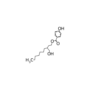 CCCCCCCC(CO)CCOC(=O)c1ccc(O)cc1